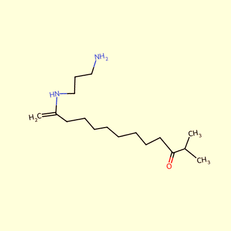 C=C(CCCCCCCCC(=O)C(C)C)NCCCN